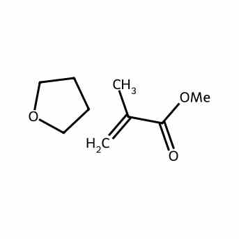 C1CCOC1.C=C(C)C(=O)OC